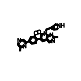 Cc1cncc(-c2ccc(-c3cc4cnc(C)nc4n(CC4C5CNCC54)c3=O)c(Cl)c2)n1